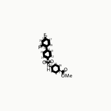 COC(=O)[C@H]1CC[C@@H](NS(=O)(=O)c2ccc(-c3ccc(F)cc3F)cc2)CC1